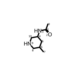 CC(=O)NC1[CH]C(C)CNC1